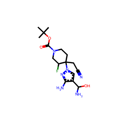 CC(C)(C)OC(=O)N1CCC(CC#N)(n2cc(C(N)O)c(N)n2)C(F)C1